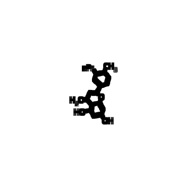 C=C1C=C(c2ccc(C)c(CCC)c2)Oc2cc(O)cc(O)c21